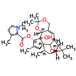 CC1=C[C@]23C(O)[C@@H](C=C4COC(C)(C)O[C@H]4[C@]2(O)[C@H]1OC(=O)c1c(C)ccn1C)[C@H]1[C@@H](C[C@H]3C)C1(C)C